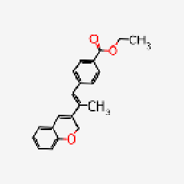 CCOC(=O)c1ccc(C=C(C)C2=Cc3ccccc3OC2)cc1